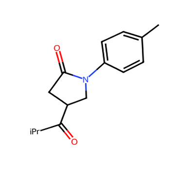 Cc1ccc(N2CC(C(=O)C(C)C)CC2=O)cc1